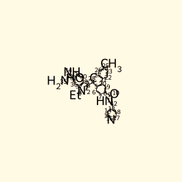 CCn1cc(Cc2ccc(C(=O)NCc3ccncc3)cc2-c2ccc(C)cc2C(=O)O)c2ccc(C(=N)N)cc21